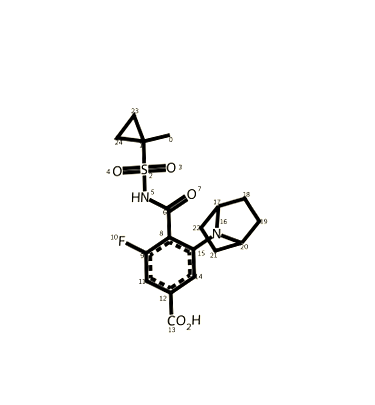 CC1(S(=O)(=O)NC(=O)c2c(F)cc(C(=O)O)cc2N2C3CCC2CC3)CC1